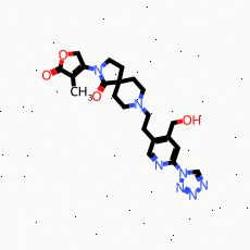 CC1=C(N2CCC3(CCN(CCc4cnc(-n5cnnn5)cc4CO)CC3)C2=O)COC1=O